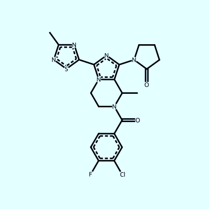 Cc1nsc(-c2nc(N3CCCC3=O)c3n2CCN(C(=O)c2ccc(F)c(Cl)c2)C3C)n1